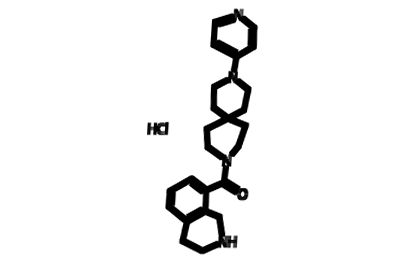 Cl.O=C(c1cccc2c1CNCC2)N1CCC2(CC1)CCN(c1ccncc1)CC2